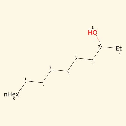 CCCCCCCCCCCCC(O)CC